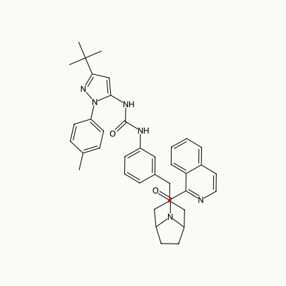 Cc1ccc(-n2nc(C(C)(C)C)cc2NC(=O)Nc2cccc(CC3CC4CCC(C3)N4C(=O)c3nccc4ccccc34)c2)cc1